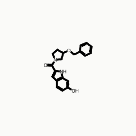 O=C(c1cc2ccc(O)cc2[nH]1)N1CCC(OCc2ccccc2)C1